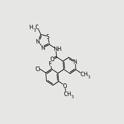 COc1ccc(Cl)c(F)c1-c1cc(C)ncc1C(=O)Nc1nnc(C)s1